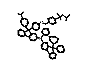 CC(C)CC(C)(C)c1ccc(COc2ccc(C3(c4ccc(C(C)C)cc4)c4ccccc4-c4ccc(N(c5ccccc5)c5ccc6c(c5)C(c5ccccc5)(c5ccccc5)c5ccccc5-6)cc43)cc2)cc1